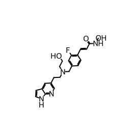 O=C(/C=C/c1ccc(CN(CCO)CCc2cnc3[nH]ccc3c2)cc1F)NO